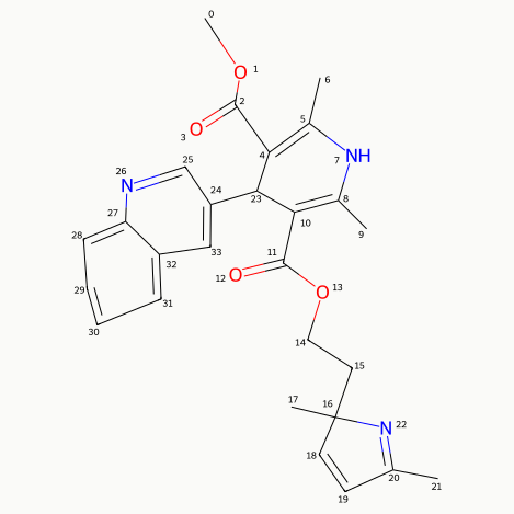 COC(=O)C1=C(C)NC(C)=C(C(=O)OCCC2(C)C=CC(C)=N2)C1c1cnc2ccccc2c1